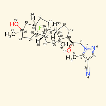 Cc1c(C#N)cnn1CC(=O)[C@@H]1CC[C@H]2[C@@H]3CC[C@@H]4C[C@](C)(O)CC[C@]4(F)[C@H]3CC[C@]12C